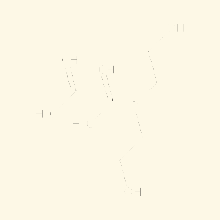 C=CC.C=CC.OCCOCCO